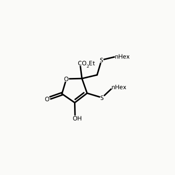 CCCCCCSCC1(C(=O)OCC)OC(=O)C(O)=C1SCCCCCC